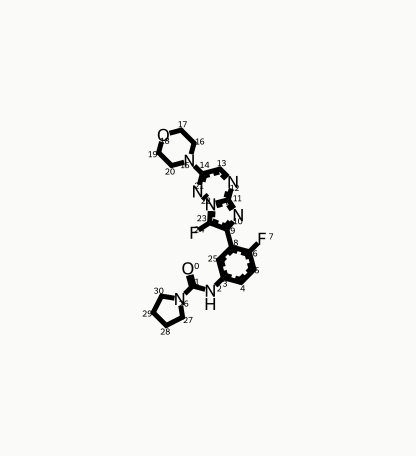 O=C(Nc1ccc(F)c(-c2nc3ncc(N4CCOCC4)nn3c2F)c1)N1CCCC1